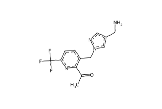 CC(=O)c1nc(C(F)(F)F)ccc1Cn1cc(CN)cn1